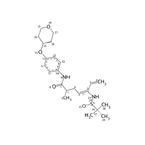 C=C/C(=C\CC(C)C(=O)Nc1ccc(OC2CCOCC2)cc1)N[S+]([O-])C(C)(C)C